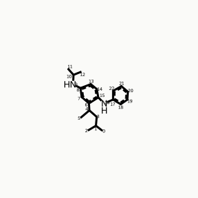 CC(C)CC(C)c1cc(NC(C)C)ccc1Nc1ccccc1